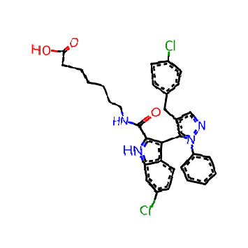 O=C(O)CCCCCCNC(=O)c1[nH]c2cc(Cl)ccc2c1-c1c(Cc2ccc(Cl)cc2)cnn1-c1ccccc1